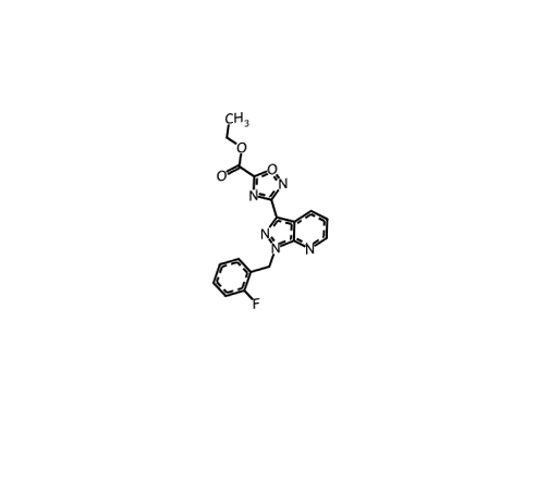 CCOC(=O)c1nc(-c2nn(Cc3ccccc3F)c3ncccc23)no1